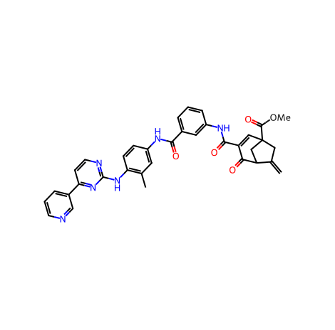 C=C1CC2(C(=O)OC)C=C(C(=O)Nc3cccc(C(=O)Nc4ccc(Nc5nccc(-c6cccnc6)n5)c(C)c4)c3)C(=O)C1C2